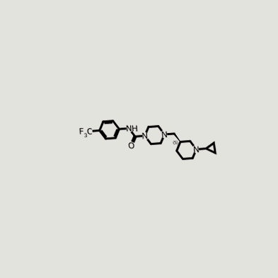 O=C(Nc1ccc(C(F)(F)F)cc1)N1CCN(C[C@@H]2CCCN(C3CC3)C2)CC1